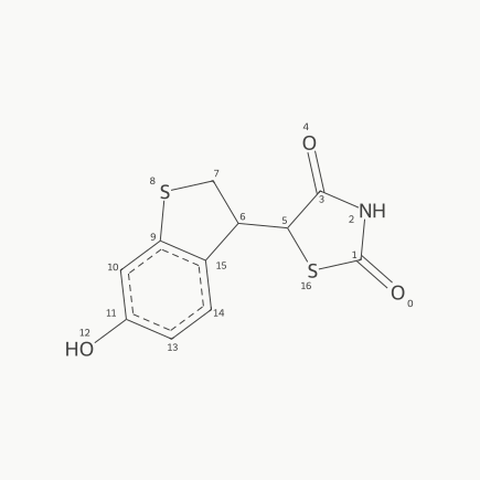 O=C1NC(=O)C(C2CSc3cc(O)ccc32)S1